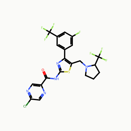 O=C(Nc1nc(-c2cc(F)cc(C(F)(F)F)c2)c(CN2CCCC2C(F)(F)F)s1)c1cnc(Cl)cn1